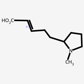 CN1CCCC1CC/C=C/C(=O)O